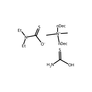 CCCCCCCCCC[N+](C)(C)CCCCCCCCCC.CCN(CC)C([O-])=S.NC(O)=S